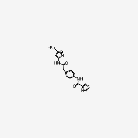 CC(C)(C)c1cc(NC(=O)Cc2ccc(NC(=O)c3cscn3)cc2)no1